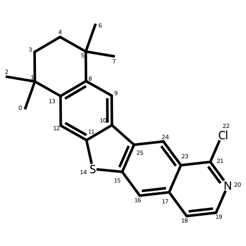 CC1(C)CCC(C)(C)c2cc3c(cc21)sc1cc2ccnc(Cl)c2cc13